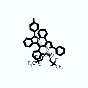 COc1ccccc1/C(=C1/N=C(c2ccc(C)cc2)c2ccccc21)c1c(-c2ccccc2)cc(-c2ccccc2)n1B(OCC(F)(F)C(F)(F)F)OCC(F)(F)C(F)(F)F